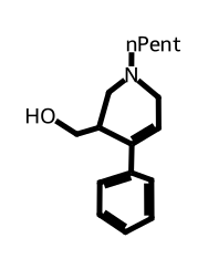 CCCCCN1CC=C(c2ccccc2)C(CO)C1